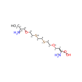 N/C(=C\COCCSCCSCCOCC(N)C(=O)O)OO